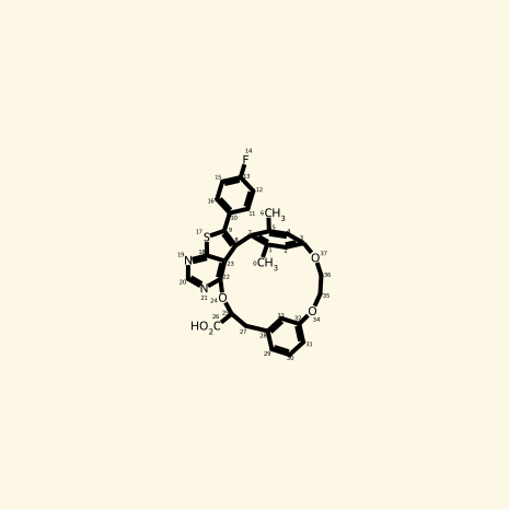 Cc1cc2cc(C)c1-c1c(-c3ccc(F)cc3)sc3ncnc(c13)OC(C(=O)O)Cc1cccc(c1)OCCO2